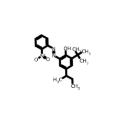 CCC(C)c1cc(/N=N/c2ccccc2[N+](=O)[O-])c(O)c(C(C)(C)C)c1